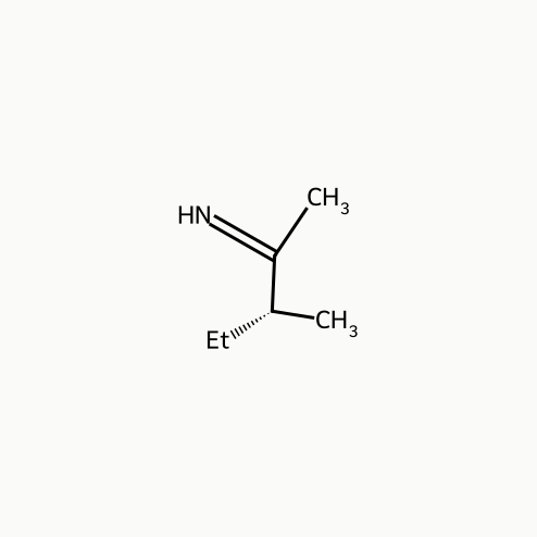 CC[C@@H](C)C(C)=N